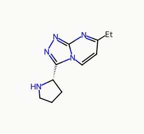 CCc1ccn2c([C@@H]3CCCN3)nnc2n1